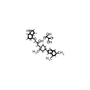 Cc1cc(C)c2cc([C@@H]3CCN(C[C@H](O)COc4cccc5[nH]ccc45)[C@@H](C)C3)sc2c1.O=C(O)C(=O)O